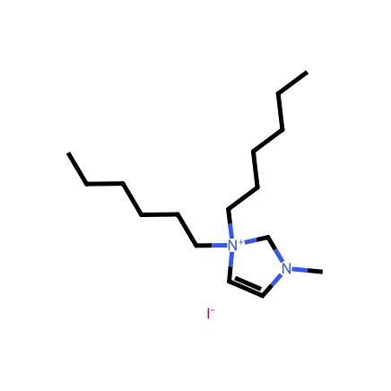 CCCCCC[N+]1(CCCCCC)C=CN(C)C1.[I-]